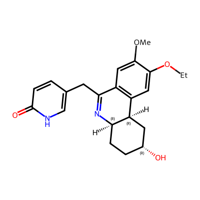 CCOc1cc2c(cc1OC)C(Cc1ccc(=O)[nH]c1)=N[C@@H]1CC[C@@H](O)C[C@H]21